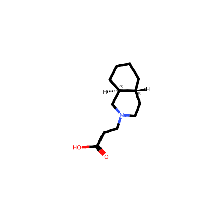 O=C(O)CCN1CC[C@H]2CCCC[C@@H]2C1